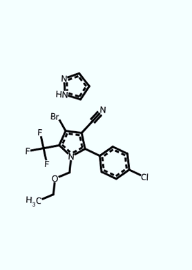 CCOCn1c(-c2ccc(Cl)cc2)c(C#N)c(Br)c1C(F)(F)F.c1cn[nH]c1